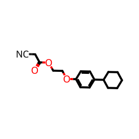 N#CCC(=O)OCCOc1ccc(C2CCCCC2)cc1